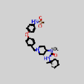 CCCCN(C(=O)NC1(C)CCCCC1)C1CCN(Cc2ccc(Oc3ccc(NS(C)(=O)=O)cc3)cc2)CC1